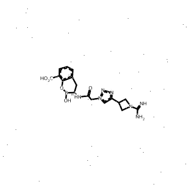 N=C(N)N1CC(c2cn(CC(=O)N[C@H]3Cc4cccc(C(=O)O)c4OB3O)nn2)C1